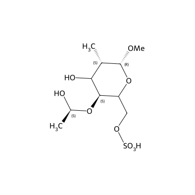 CO[C@@H]1OC(COS(=O)(=O)O)[C@@H](O[C@@H](C)O)C(O)[C@@H]1C